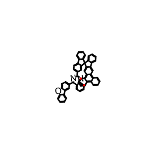 c1ccc2c(c1)-c1ccc(-c3nc(-c4ccc5oc6ccccc6c5c4)c4ccccc4n3)cc1C21c2ccccc2-c2cc3c4ccccc4c4ccccc4c3cc21